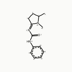 CC1CCC(=NC(=O)Nc2ccccc2)N1C